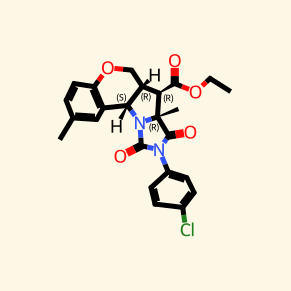 CCOC(=O)[C@@H]1[C@H]2COc3ccc(C)cc3[C@H]2N2C(=O)N(c3ccc(Cl)cc3)C(=O)[C@@]12C